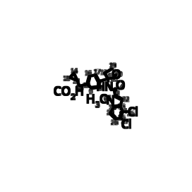 Cn1c(C(=O)NC2(c3ccc(C(C(=O)O)C4CC4)cc3)CCOC2)cc2c(Cl)c(Cl)ccc21